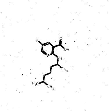 CC(C)CCCC(C)Nc1ncc(F)cc1C(=O)O